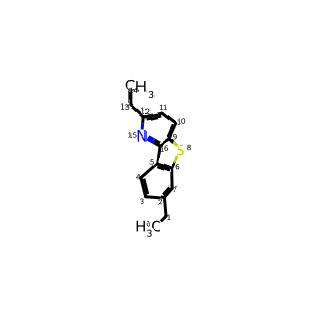 CCc1ccc2c(c1)sc1ccc(CC)nc12